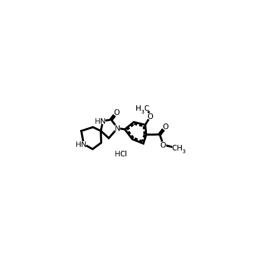 COC(=O)c1ccc(N2CC3(CCNCC3)NC2=O)cc1OC.Cl